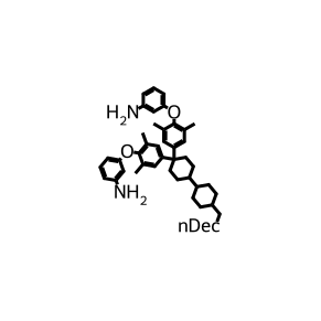 CCCCCCCCCCCC1CCC(C2CCC(c3cc(C)c(Oc4cccc(N)c4)c(C)c3)(c3cc(C)c(Oc4cccc(N)c4)c(C)c3)CC2)CC1